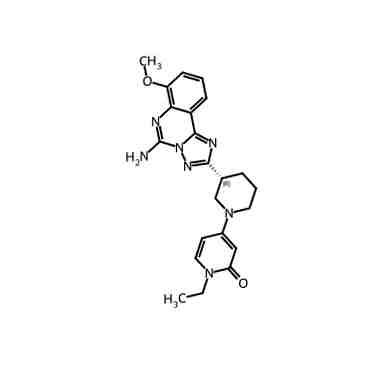 CCn1ccc(N2CCC[C@@H](c3nc4c5cccc(OC)c5nc(N)n4n3)C2)cc1=O